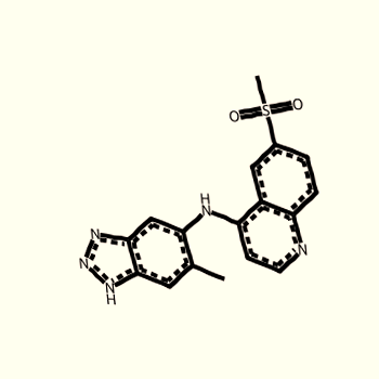 Cc1cc2[nH]nnc2cc1Nc1ccnc2ccc(S(C)(=O)=O)cc12